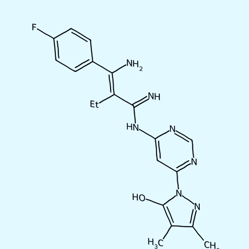 CC/C(C(=N)Nc1cc(-n2nc(C)c(C)c2O)ncn1)=C(/N)c1ccc(F)cc1